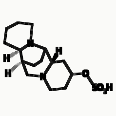 O=S(=O)(O)OC1CCN2C[C@@H]3CCC([C@@H]2C1)N1CCCC[C@H]31